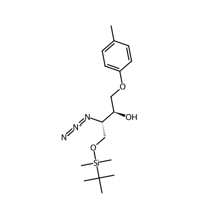 Cc1ccc(OC[C@@H](O)[C@H](CO[Si](C)(C)C(C)(C)C)N=[N+]=[N-])cc1